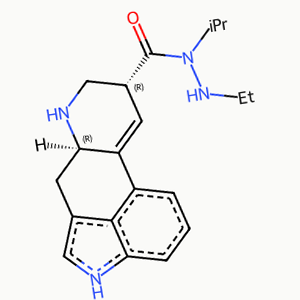 CCNN(C(=O)[C@@H]1C=C2c3cccc4[nH]cc(c34)C[C@H]2NC1)C(C)C